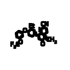 CC[C@@H]1CN(c2cc(=O)n(C)c3ccc(C#N)nc23)CC[C@H]1Oc1cccc(OC(F)(F)F)c1